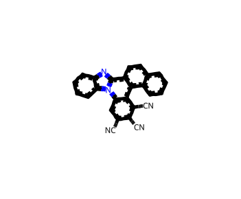 N#Cc1cc2c(c(C#N)c1C#N)c1c3ccccc3ccc1c1nc3ccccc3n21